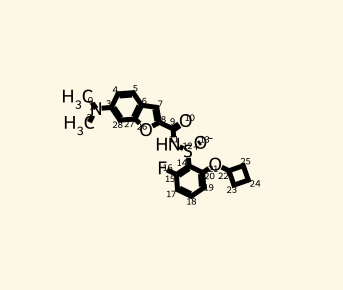 CN(C)c1ccc2cc(C(=O)N[S+]([O-])c3c(F)cccc3OC3CCC3)oc2c1